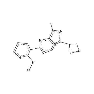 CCOc1ncccc1-c1ccn2c(C3COC3)nc(C)c2n1